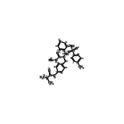 Cc1ccc(S(=O)(=O)Nc2cncnc2N[C@@H](Cc2ccc(OC(=O)N(C)C)cc2)C(=O)OC(C)(C)C)cc1